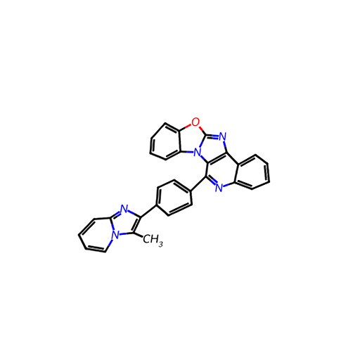 Cc1c(-c2ccc(-c3nc4ccccc4c4nc5oc6ccccc6n5c34)cc2)nc2ccccn12